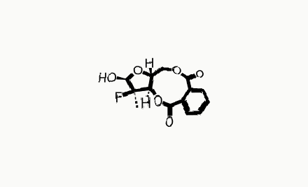 C[C@@]1(F)[C@@H]2OC(=O)c3ccccc3C(=O)OC[C@H]2O[C@@H]1O